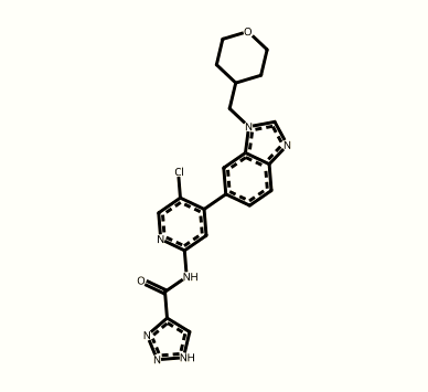 O=C(Nc1cc(-c2ccc3ncn(CC4CCOCC4)c3c2)c(Cl)cn1)c1c[nH]nn1